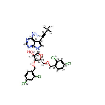 C[C@@]1(O)[C@H](OCc2ccc(Cl)cc2Cl)[C@@H](COCc2ccc(Cl)cc2Cl)O[C@H]1n1cc(C#C[Si](C)(C)C)c2c(N)ncnc21